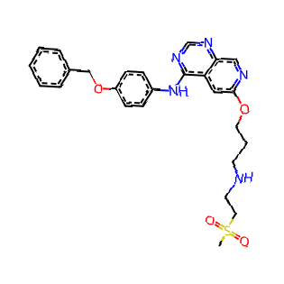 CS(=O)(=O)CCNCCCOc1cc2c(Nc3ccc(OCc4ccccc4)cc3)ncnc2cn1